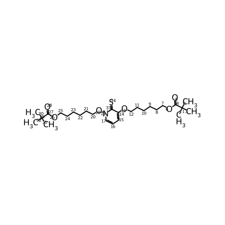 CC(C)(C)C(=O)OCCCCCCOc1cccn(OCCCCCCOC(=O)C(C)(C)C)c1=S